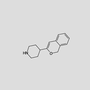 C1=C(C2CCNCC2)OCc2ccccc21